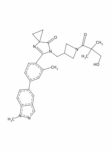 Cc1cc(-c2ccc3c(cnn3C)c2)ccc1C1=NC2(CC2)C(=O)N1CC1CN(C(=O)C(C)(C)CO)C1